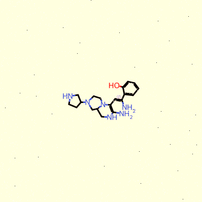 NC1=C(/C=C(\N)c2ccccc2O)N2CCN(C3CCNC3)CC2CN1